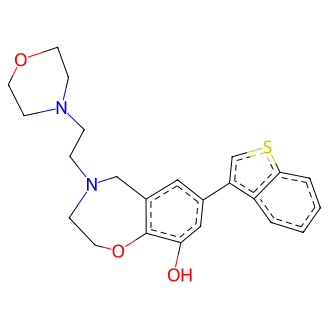 Oc1cc(-c2csc3ccccc23)cc2c1OCCN(CCN1CCOCC1)C2